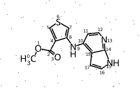 COC(=O)c1cscc1Nc1ccnc2[nH]ccc12